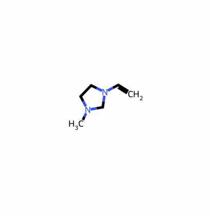 C=CN1CCN(C)C1